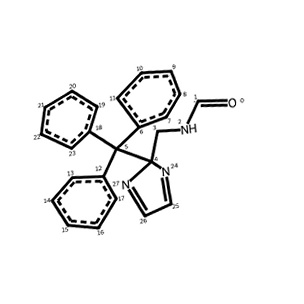 O=[C]NCC1(C(c2ccccc2)(c2ccccc2)c2ccccc2)N=CC=N1